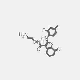 Cc1ccc(Nc2sc3c(c2C(=O)NOCCN)CCCC3=O)c(F)c1